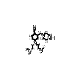 CN(C)CCN(CCN(C)C)c1ccc(C#N)c(CN2CCNCC2)c1